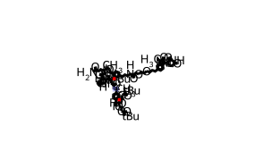 CCCC[C@H](NC(=O)/C=C(\C)c1ccc(C(F)(F)P(=O)(OCOC(=O)C(C)(C)C)OCOC(=O)C(C)(C)C)cc1)C(=O)N1C[C@H]2C#C[C@H]2[C@H]1C(=O)N[C@@H](CCC(N)=O)[C@@H](C)OCc1ccc(CCCNC(=O)COCCOCCCc2ccc3c(c2)n(C)c(=O)n3C2CCC(=O)NC2=O)cc1